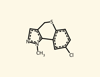 Cn1ncc2c1-c1cc(Cl)ccc1SC2